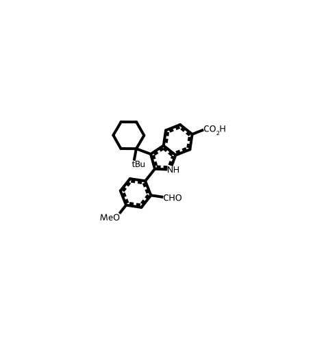 COc1ccc(-c2[nH]c3cc(C(=O)O)ccc3c2C2(C(C)(C)C)CCCCC2)c(C=O)c1